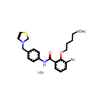 Br.CCCCCCCCCCCCCCOc1c(C(C)=O)cccc1C(=O)Nc1ccc(CN2C=CSC2)cc1